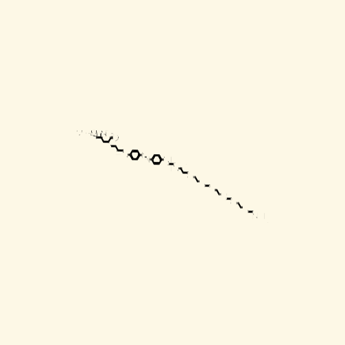 COC(=O)[C@@H](CCCC(=O)Nc1ccc(/N=N/c2ccc(NCCNC(=O)CCOCCOCCOCCOCCOCCOCCN)cc2)cc1)C[C@H](N)C(=O)OC